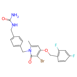 Cc1cc(OCc2ccc(F)cc2F)c(Br)c(=O)n1Cc1ccc(CNC(N)=O)cc1